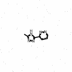 Cc1nnc(-c2cccnn2)[nH]1